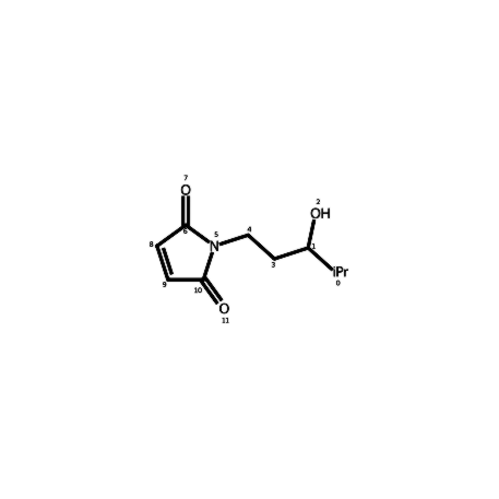 CC(C)C(O)CCN1C(=O)C=CC1=O